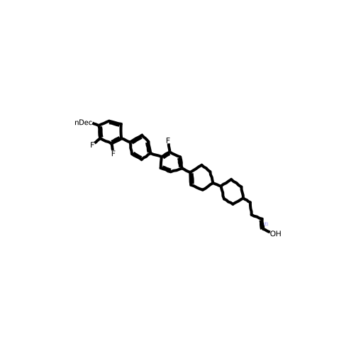 CCCCCCCCCCc1ccc(-c2ccc(-c3ccc(C4=CCC(C5CCC(CC/C=C/O)CC5)CC4)cc3F)cc2)c(F)c1F